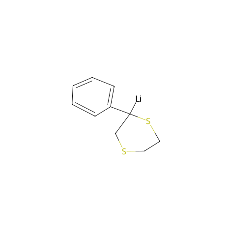 [Li][C]1(c2ccccc2)CSCCS1